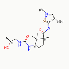 CCCCc1cn(C(C)(C)C)sc1=NC(=O)[C@]1(C)CC[C@H](NC(=O)NC[C@H](C)O)C1(C)C